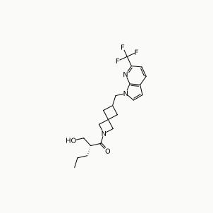 CCC[C@H](CO)C(=O)N1CC2(CC(Cn3ccc4ccc(C(F)(F)F)nc43)C2)C1